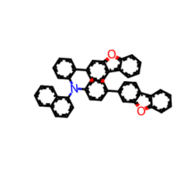 c1ccc(N(c2ccc(-c3ccc4c(c3)oc3ccccc34)cc2)c2cccc3ccccc23)c(-c2ccc3c(c2)oc2ccccc23)c1